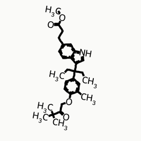 CCC(CC)(c1ccc(OCC(=O)C(C)(C)C)c(C)c1)c1c[nH]c2cc(CCC(=O)OC)ccc12